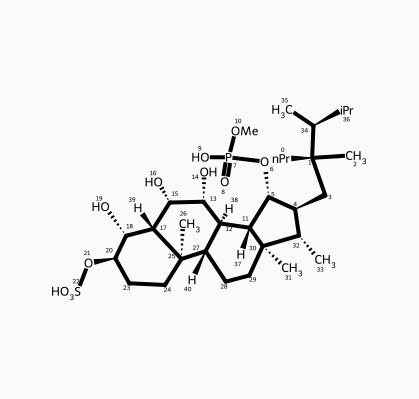 CCC[C@@](C)(C[C@@H]1[C@@H](OP(=O)(O)OC)[C@H]2[C@@H]3[C@@H](O)[C@@H](O)[C@H]4[C@@H](O)[C@H](OS(=O)(=O)O)CC[C@]4(C)[C@H]3CC[C@]2(C)[C@H]1C)[C@@H](C)C(C)C